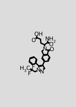 CC(F)(F)Cn1ncc(-c2ccc3c(c2)CN(C(CCC(=O)O)C(N)=O)C3=O)c1-c1ccccc1